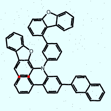 c1ccc(-c2ccc(-c3ccc4ccccc4c3)cc2N(c2cccc(-c3cccc4oc5ccccc5c34)c2)c2cccc3c2oc2ccccc23)cc1